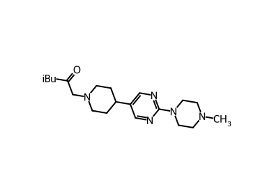 CCC(C)C(=O)CN1CCC(c2cnc(N3CCN(C)CC3)nc2)CC1